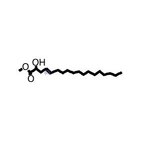 CCCCCCCCCCCCC/C=C/CC(O)C(=O)OC